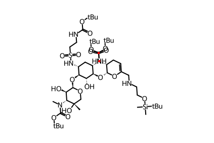 CN(C(=O)OC(C)(C)C)[C@@H]1[C@@H](O)[C@@H](O[C@@H]2[C@@H](O)[C@H](O[C@H]3OC(CNCCO[Si](C)(C)C(C)(C)C)=CC[C@H]3NC(=O)OC(C)(C)C)[C@@H](NC(=O)OC(C)(C)C)C[C@H]2NS(=O)(=O)CCNC(=O)OC(C)(C)C)OC[C@]1(C)O